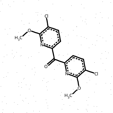 COc1nc(C(=O)c2ccc(Cl)c(OC)n2)ccc1Cl